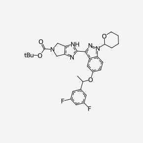 CC(Oc1ccc2c(c1)c(-c1nc3c([nH]1)CN(C(=O)OC(C)(C)C)C3)nn2C1CCCCO1)c1cc(F)cc(F)c1